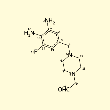 Nc1cc(CN2CCN(CC=O)CC2)cc(F)c1N